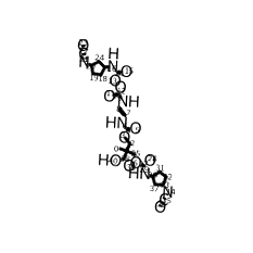 CC(COC(=O)NC=CNC(=O)OOC(=O)NC1CCC(N=C=O)C1)(COC(=O)NC1CCC(N=C=O)C1)C(=O)O